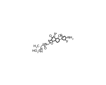 Cc1c(-c2cc(F)c(N)cc2F)ccc2c3oc(CNC(=O)C[C@@H](C)NC(=O)O)nc3c(=O)n(C3CC3)c12